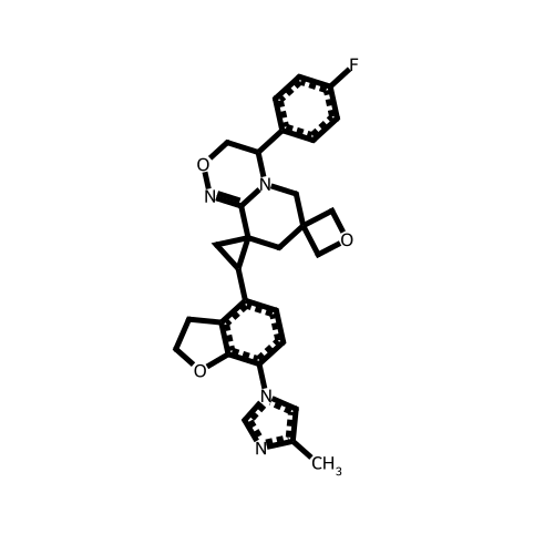 Cc1cn(-c2ccc(C3CC34CC3(COC3)CN3C4=NOCC3c3ccc(F)cc3)c3c2OCC3)cn1